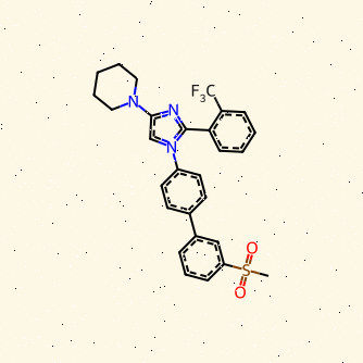 CS(=O)(=O)c1cccc(-c2ccc(-n3cc(N4CCCCC4)nc3-c3ccccc3C(F)(F)F)cc2)c1